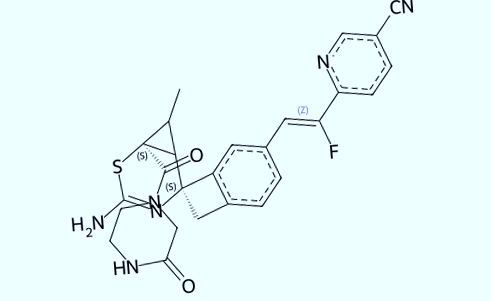 CC1C2[C@@]1(C(=O)N1CCNC(=O)C1)SC(N)=N[C@@]21Cc2ccc(/C=C(\F)c3ccc(C#N)cn3)cc21